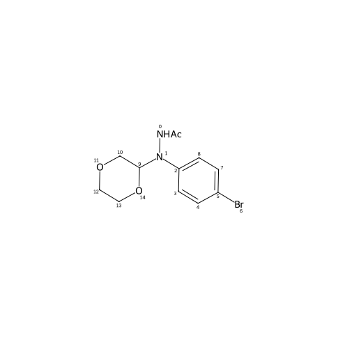 CC(=O)NN(c1ccc(Br)cc1)C1COCCO1